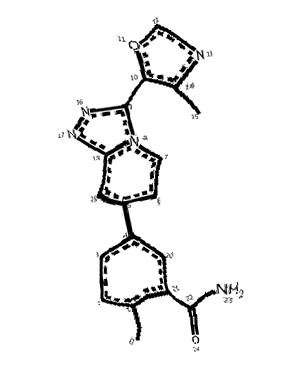 Cc1ccc(-c2ccn3c(-c4ocnc4C)nnc3c2)cc1C(N)=O